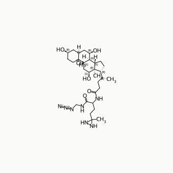 C[C@H](CCC(=O)NC(CCC1(C)NN1)C(=O)NCN=[N+]=[N-])[C@H]1CC[C@H]2[C@@H]3[C@H](O)C[C@@H]4C[C@H](O)CC[C@]4(C)[C@H]3C[C@H](O)[C@]12C